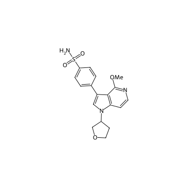 COc1nccc2c1c(-c1ccc(S(N)(=O)=O)cc1)cn2C1CCOC1